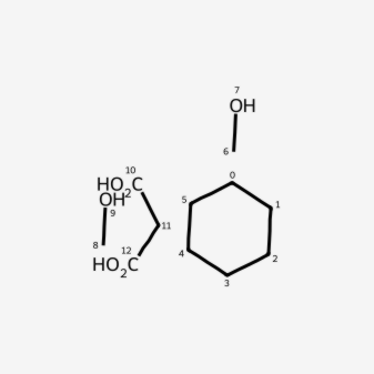 C1CCCCC1.CO.CO.O=C(O)CC(=O)O